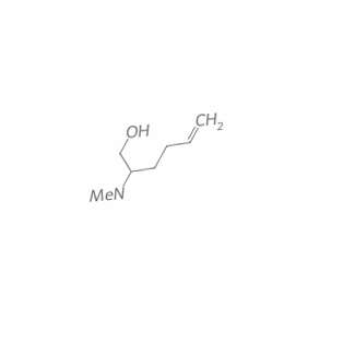 C=CCCC(CO)NC